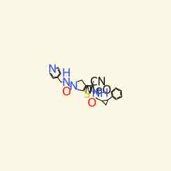 COc1ccccc1C1CC1C(=O)Nc1sc2c(c1C#N)CCN(C(=O)NCc1ccncc1)C2